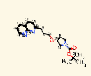 CC(C)(C)OC(=O)N1CC[C@@H](OCCCc2ccc3cccnc3n2)C1